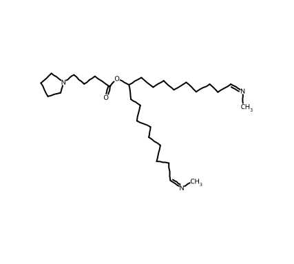 C/N=C\CCCCCCCCC(CCCCCCCC/C=N\C)OC(=O)CCCN1CCCC1